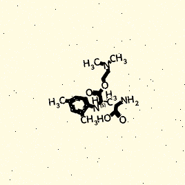 Cc1ccc(N[C@@H](C)C(=O)OCCN(C)C)c(C)c1.NCC(=O)O